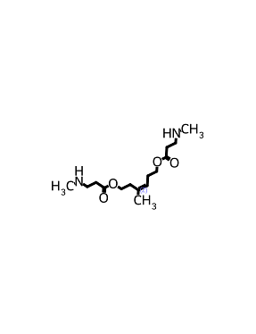 CNCCC(=O)OCC/C=C(/C)CCOC(=O)CCNC